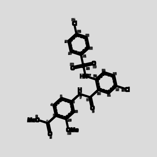 COC(=O)c1ccc(NC(=O)c2cc(Cl)ccc2NS(=O)(=O)c2ccc(Cl)cc2)cc1OC